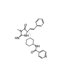 CN1C(=N)N[C@@](C=Cc2ccccc2)(C[C@H]2CCCC(NC(=O)c3ccncc3)C2)C1=O